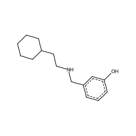 Oc1cccc(CNCCC2CCCCC2)c1